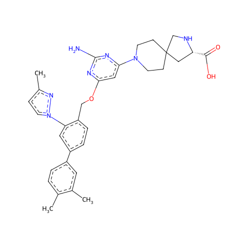 Cc1ccn(-c2cc(-c3ccc(C)c(C)c3)ccc2COc2cc(N3CCC4(CC3)CN[C@H](C(=O)O)C4)nc(N)n2)n1